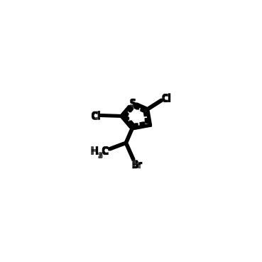 CC(Br)c1cc(Cl)sc1Cl